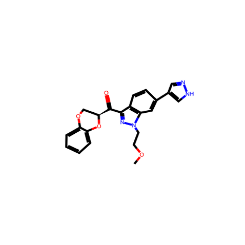 COCCn1nc(C(=O)[C@@H]2COc3ccccc3O2)c2ccc(-c3cn[nH]c3)cc21